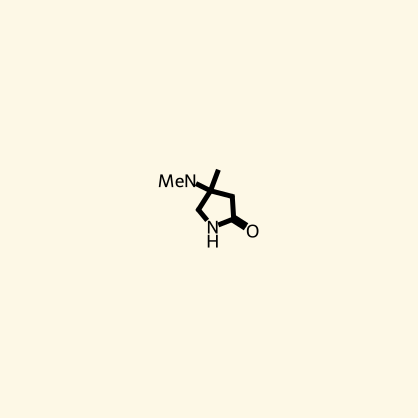 CNC1(C)CNC(=O)C1